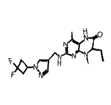 CCC1C(=O)Nc2c(C)nc(NCc3cnn(C4CC(F)(F)C4)c3)nc2N1C